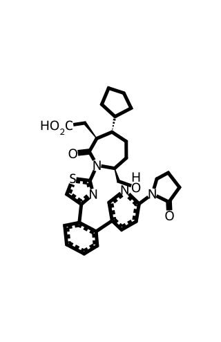 O=C(O)C[C@@H]1C(=O)N(c2nc(-c3ccccc3-c3ccc(N4CCCC4=O)nc3)cs2)[C@H](CO)CC[C@H]1C1CCCC1